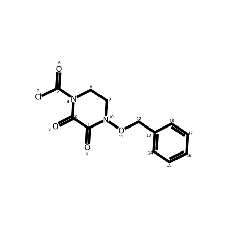 O=C1C(=O)N(C(=O)Cl)CCN1OCc1ccccc1